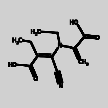 C=C(C(=O)O)N(CC)C(C#N)=C(CC)C(=O)O